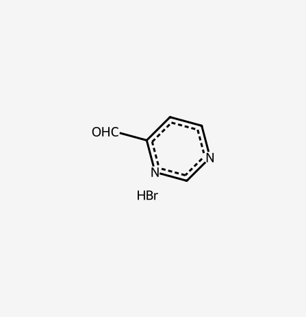 Br.O=Cc1ccncn1